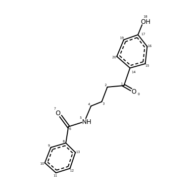 O=C(CCCNC(=O)c1ccccc1)c1ccc(O)cc1